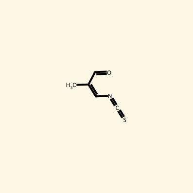 CC([C]=O)=CN=C=S